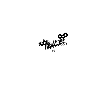 Cc1c(C)c(S(=O)(=O)NC(=N)NCCCC[C@@H](C(=O)O)N(C)C(=O)OCC2c3ccccc3-c3ccccc32)c(C)c2c1OC(C)(C)C2